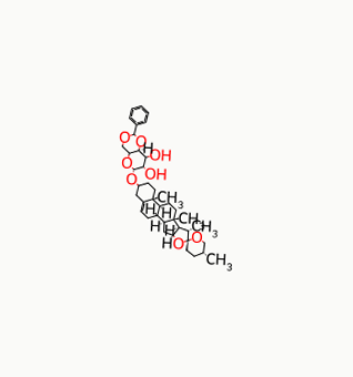 C[C@@H]1CC[C@@]2(OC1)O[C@H]1C[C@H]3[C@@H]4CC=C5C[C@@H](O[C@@H]6OC7COC(c8ccccc8)O[C@H]7C(O)[C@@H]6O)CC[C@]5(C)[C@H]4CC[C@]3(C)[C@H]1[C@@H]2C